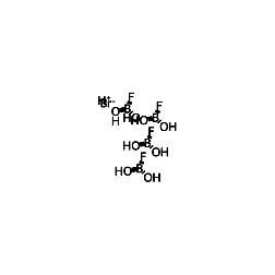 OB(O)F.OB(O)F.OB(O)F.OB(O)F.[Br-].[H+]